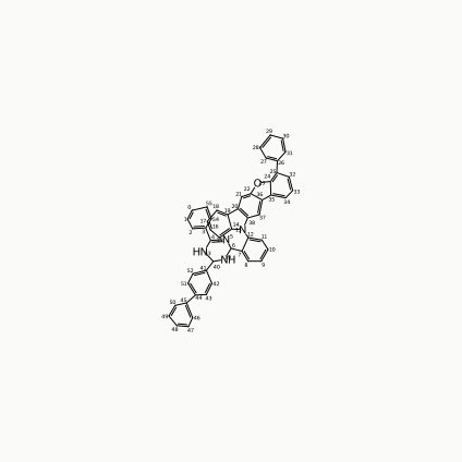 c1ccc(C2=NC(c3ccccc3-n3c4ccccc4c4cc5oc6c(-c7ccccc7)cccc6c5cc43)NC(c3ccc(-c4ccccc4)cc3)N2)cc1